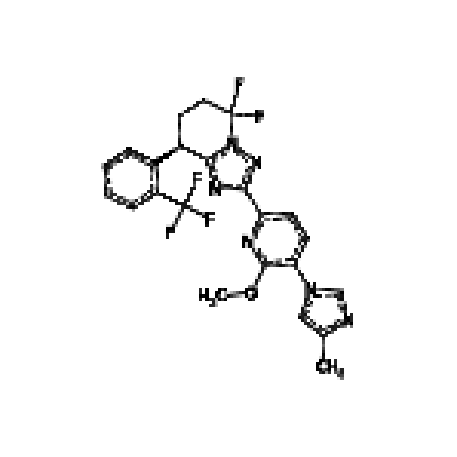 COc1nc(-c2nc3n(n2)C(F)(F)CC[C@@H]3c2ccccc2C(F)(F)F)ccc1-n1cnc(C)c1